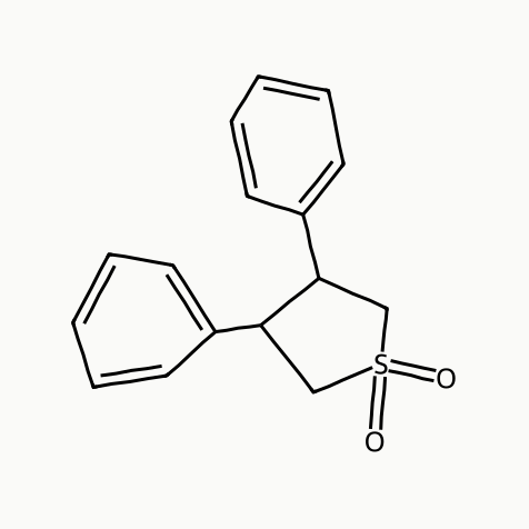 O=S1(=O)CC(c2ccccc2)C(c2ccccc2)C1